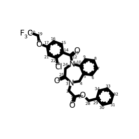 O=C(CN1Cc2ccccc2N(C(=O)c2ccc(OCC(F)(F)F)cc2Cl)CC1=O)OCc1ccccc1